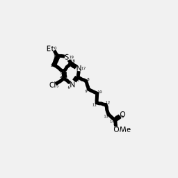 CCc1cc2c(Cl)nc(CCCCCCC(=O)OC)nc2s1